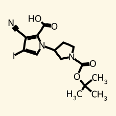 CC(C)(C)OC(=O)N1CCC(n2cc(I)c(C#N)c2C(=O)O)C1